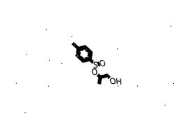 Cc1ccc(S(=O)OC(C)CO)cc1